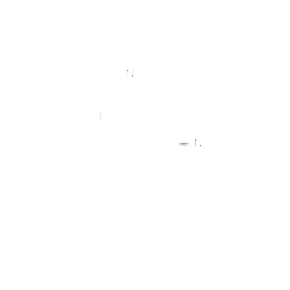 N#Cc1cc(C#N)c2c(c1F)-c1ccccc1C21c2ccccc2-c2ccccc21